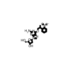 CC(COc1nc(N)nc2c1ncn2[C@H]1CC(O)[C@@H](CO)O1)c1ccccc1[N+](=O)[O-]